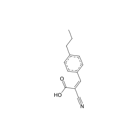 CCCc1ccc(C=C(C#N)C(=O)O)cc1